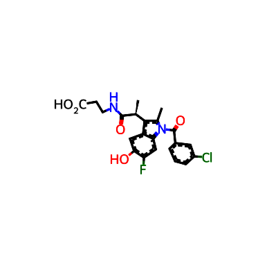 Cc1c([C@H](C)C(=O)NCCC(=O)O)c2cc(O)c(F)cc2n1C(=O)c1cccc(Cl)c1